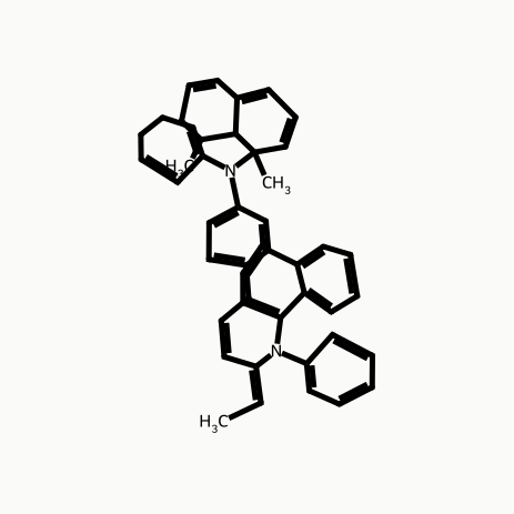 C/C=C(\C=C/Cc1ccc(N(C2=CCCC=C2)C2(C)C=CC=C3C=CCC(C)C32)cc1)N(c1ccccc1)c1cccc2ccccc12